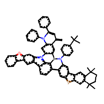 C=C1C=C(c2ccccc2)N(c2ccccc2)c2cc3c(cc21)B1c2c(ccc4c5cc6c(cc5n-3c24)oc2ccccc26)-c2cc3sc4cc5c(cc4c3cc2N1c1ccc(C(C)(C)C)cc1)C(C)(C)CCC5(C)C